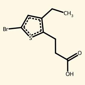 CCc1cc(Br)sc1CCC(=O)O